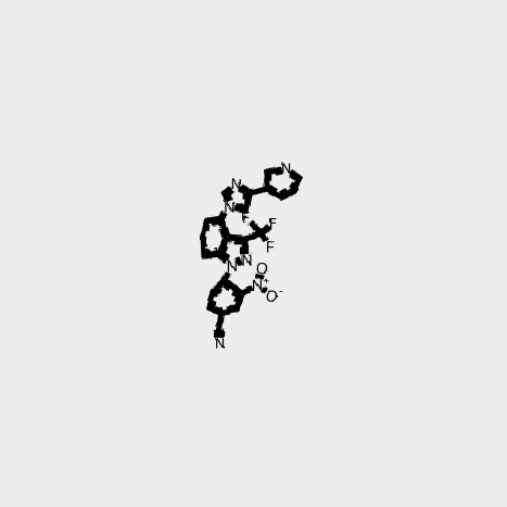 N#Cc1ccc(-n2nc(C(F)(F)F)c3c(-n4cnc(-c5cccnc5)c4)cccc32)c([N+](=O)[O-])c1